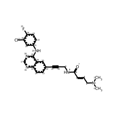 CN(C)C/C=C/C(=O)NCC#Cc1ccc2ncnc(Nc3ccc(F)c(Cl)c3)c2c1